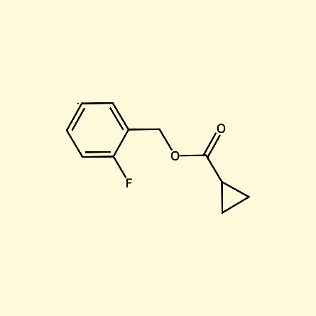 O=C(OCc1c[c]ccc1F)C1CC1